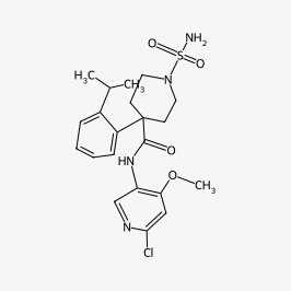 COc1cc(Cl)ncc1NC(=O)C1(c2ccccc2C(C)C)CCN(S(N)(=O)=O)CC1